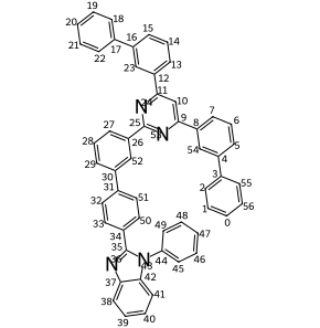 c1ccc(-c2cccc(-c3cc(-c4cccc(-c5ccccc5)c4)nc(-c4cccc(-c5ccc(-c6nc7ccccc7n6-c6ccccc6)cc5)c4)n3)c2)cc1